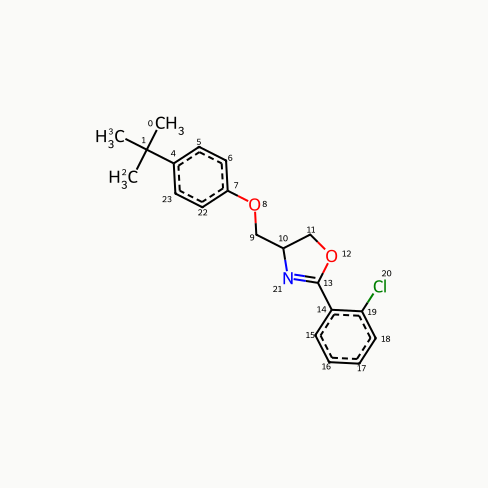 CC(C)(C)c1ccc(OCC2COC(c3ccccc3Cl)=N2)cc1